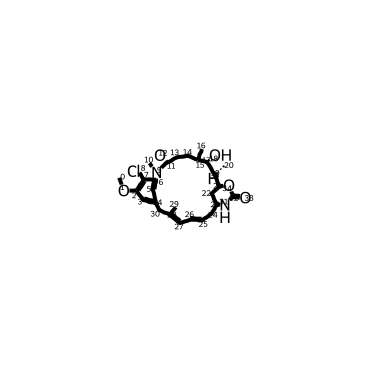 COc1cc2cc(c1Cl)N(C)C(=O)CCC(C)[C@@H](O)[C@H](C)[C@@H]1CC(C/C=C/C=C(\C)C2)NC(=O)O1